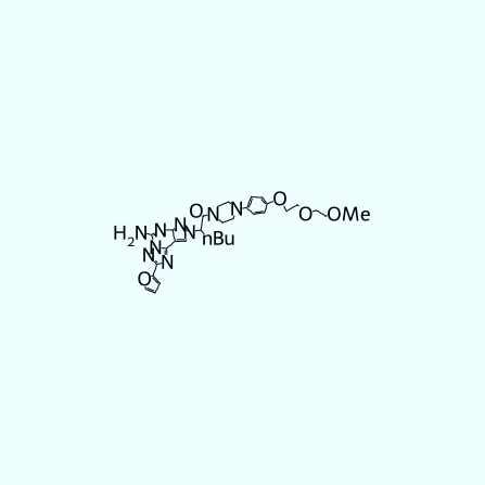 CCCCC(C(=O)N1CCN(c2ccc(OCCOCCOC)cc2)CC1)n1cc2c(nc(N)n3nc(-c4ccco4)nc23)n1